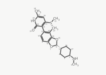 CN[C@H]1CC[C@H](C2Oc3ccc(-c4c(SC)cc(C)[nH]c4=O)c(C)c3O2)CC1